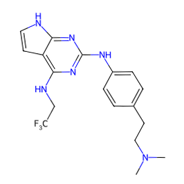 CN(C)CCc1ccc(Nc2nc(NCC(F)(F)F)c3cc[nH]c3n2)cc1